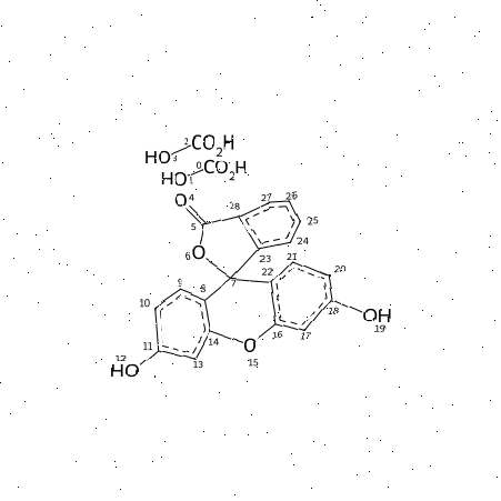 O=C(O)O.O=C(O)O.O=C1OC2(c3ccc(O)cc3Oc3cc(O)ccc32)c2ccccc21